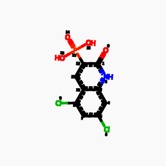 O=c1[nH]c2cc(Cl)cc(Cl)c2cc1P(=O)(O)O